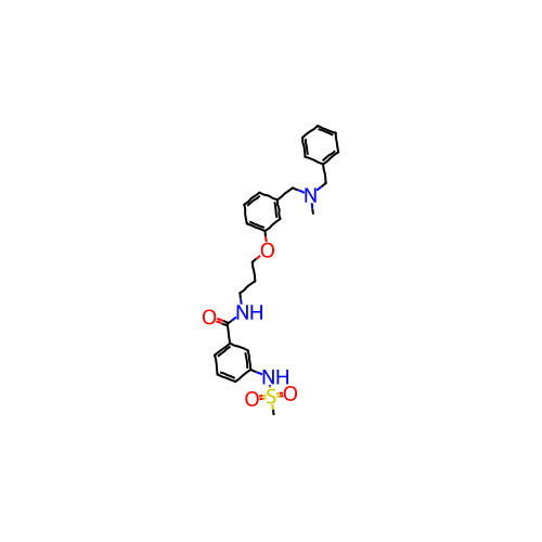 CN(Cc1ccccc1)Cc1cccc(OCCCNC(=O)c2cccc(NS(C)(=O)=O)c2)c1